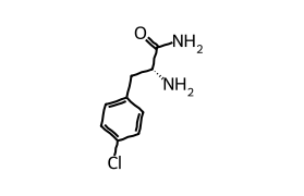 NC(=O)[C@H](N)Cc1ccc(Cl)cc1